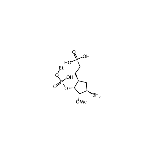 B[C@@H]1C[C@H](CCP(=O)(O)O)[C@@H](OP(=O)(O)OCC)[C@H]1OC